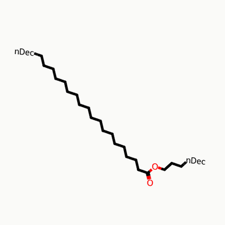 CCCCCCCCCCCCCCCCCCCCCCCCCCCCC(=O)OCCCCCCCCCCCCC